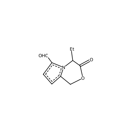 CCC1C(=O)OCc2ccc(C=O)n21